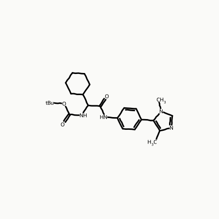 Cc1ncn(C)c1-c1ccc(NC(=O)C(NC(=O)OC(C)(C)C)C2CCCCC2)cc1